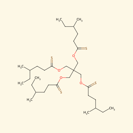 CCC(C)CCC(=S)OCC(COC(=S)CCC(C)CC)(COC(=S)CCC(C)CC)COC(=S)CCC(C)CC